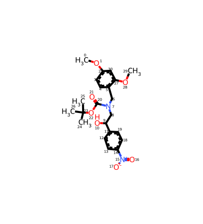 COc1ccc(CN(CC(O)c2ccc([N+](=O)[O-])cc2)C(=O)OC(C)(C)C)c(OC)c1